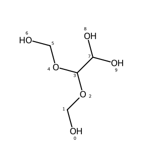 OCOC(OCO)C(O)O